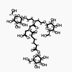 O=C(O)CN(CC(=O)N(CCO[C@H]1O[C@H](CO)[C@@H](O)[C@H](O)[C@@H]1O)CCO[C@@H]1O[C@@H](CO)[C@H](O)[C@@H](O)[C@H]1O)C(=O)CCCCC(=O)O[C@H]1O[C@H](CO)[C@@H](O)[C@H](O)[C@@H]1O